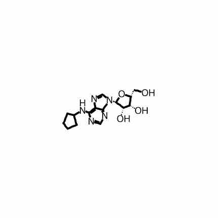 OC[C@H]1O[C@@H](n2cnc3c(NC4CCCC4)ncnc32)[C@@H](O)[C@H]1O